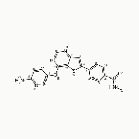 CNC(=O)c1ccc(-c2cc3nccc(Oc4ccc(N)nc4)c3s2)cc1